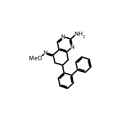 CO/N=C1\CC(c2ccccc2-c2ccccc2)Cc2nc(N)ncc21